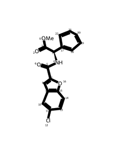 COC(=O)[C@H](NC(=O)c1cc2cc(Cl)ccc2o1)c1ccccc1